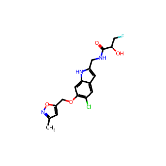 Cc1cc(COc2cc3[nH]c(CNC(=O)[C@H](O)CF)cc3cc2Cl)on1